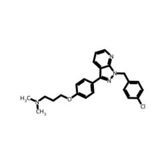 CN(C)CCCOc1ccc(-c2nn(Cc3ccc(Cl)cc3)c3ncccc23)cc1